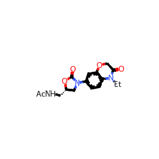 CCN1C(=O)COc2cc(N3C[C@H](CNC(C)=O)OC3=O)ccc21